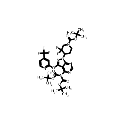 CC(C)(C)OC(=O)N1CCC(n2nc(Oc3cc(C(F)(F)F)ccn3)c3c(N(C(=O)OC(C)(C)C)C(=O)OC(C)(C)C)ncnc32)C(F)(F)C1